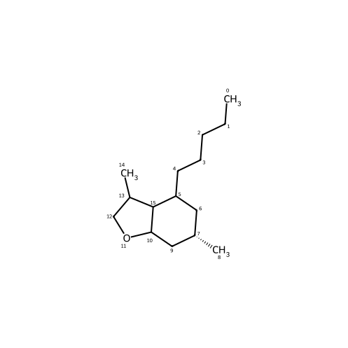 CCCCCC1C[C@H](C)CC2OCC(C)C12